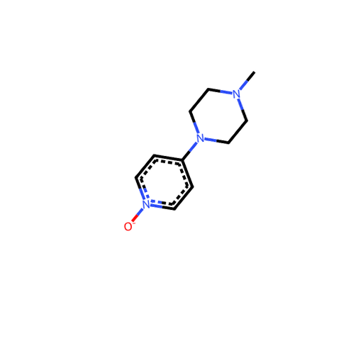 CN1CCN(c2cc[n+]([O-])cc2)CC1